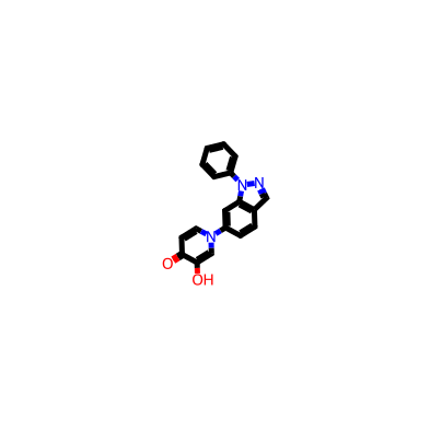 O=c1ccn(-c2ccc3cnn(-c4ccccc4)c3c2)cc1O